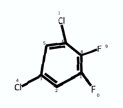 Fc1[c]c(Cl)cc(Cl)c1F